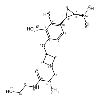 C[C@@H](CN1CC(Oc2ccc([C@H]3C[C@H]3B(O)O)c(O)c2C(=O)O)C1)C(=O)NCCO